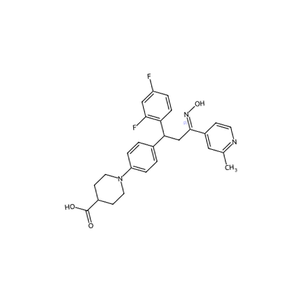 Cc1cc(/C(CC(c2ccc(N3CCC(C(=O)O)CC3)cc2)c2ccc(F)cc2F)=N\O)ccn1